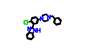 Clc1ccc(N2CCN(Cc3ccccc3)CC2)cc1-c1nc2ccccc2[nH]1